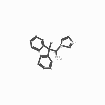 CC(c1ccccc1)(c1ccccc1)C(N)n1ccnc1